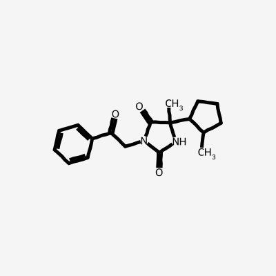 CC1CCCC1C1(C)NC(=O)N(CC(=O)c2ccccc2)C1=O